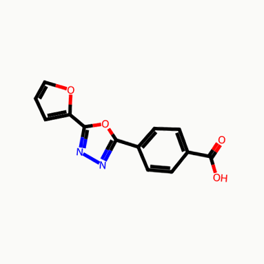 O=C(O)c1ccc(-c2nnc(-c3ccco3)o2)cc1